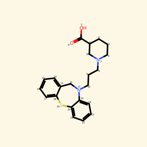 O=C(O)C1CCCN(CCCN2Cc3ccccc3Sc3ccccc32)C1